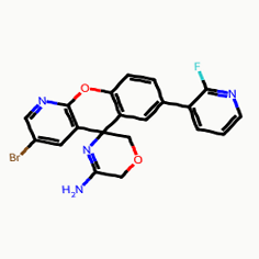 NC1=NC2(COC1)c1cc(-c3cccnc3F)ccc1Oc1ncc(Br)cc12